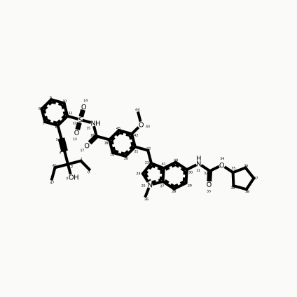 CCC(O)(C#Cc1ccccc1S(=O)(=O)NC(=O)c1ccc(Cc2cn(C)c3ccc(NC(=O)OC4CCCC4)cc23)c(OC)c1)CC